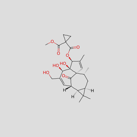 COC(=O)C1(C(=O)O[C@H]2C(C)=C[C@]34C(=O)[C@@H](C=C(CO)[C@@H](O)[C@]23O)[C@H]2[C@@H](C[C@H]4C)C2(C)C)CC1